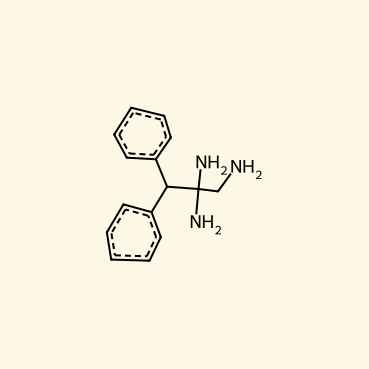 NCC(N)(N)C(c1ccccc1)c1ccccc1